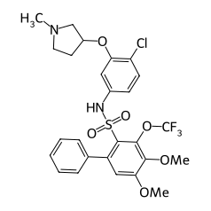 COc1cc(-c2ccccc2)c(S(=O)(=O)Nc2ccc(Cl)c(OC3CCN(C)C3)c2)c(OC(F)(F)F)c1OC